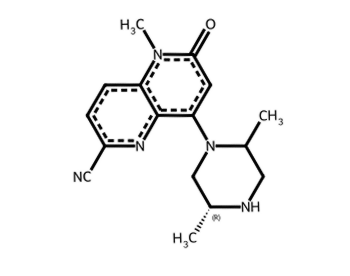 CC1CN[C@H](C)CN1c1cc(=O)n(C)c2ccc(C#N)nc12